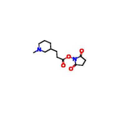 CN1CCCC(CCC(=O)ON2C(=O)CCC2=O)C1